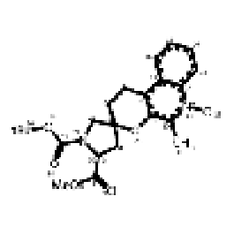 COC(=O)[C@@H]1CC2(CCc3c(c(C)[n+]([O-])c4ccccc34)O2)CN1C(=O)OC(C)(C)C